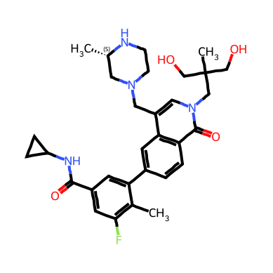 Cc1c(F)cc(C(=O)NC2CC2)cc1-c1ccc2c(=O)n(CC(C)(CO)CO)cc(CN3CCN[C@@H](C)C3)c2c1